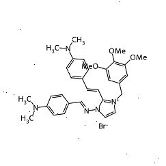 COc1cc(C[n+]2ccn(N=Cc3ccc(N(C)C)cc3)c2C=Cc2ccc(N(C)C)cc2)cc(OC)c1OC.[Br-]